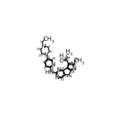 CCN1CCN(c2ccc(Nc3ncc4c(n3)-c3c(nn(C)c3C(C)C)C4)nc2)CC1